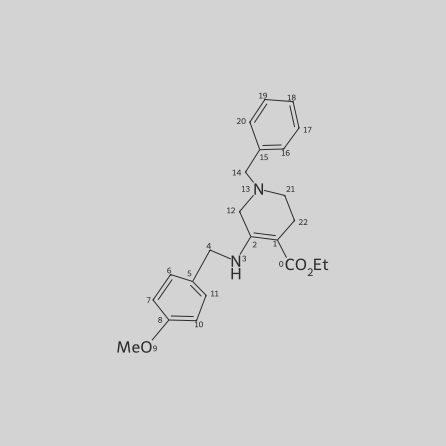 CCOC(=O)C1=C(NCc2ccc(OC)cc2)CN(Cc2ccccc2)CC1